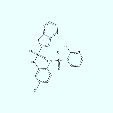 O=S(=O)(Nc1cc(Cl)ccc1NS(=O)(=O)c1cccnc1Cl)c1cc2ccccc2o1